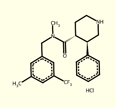 Cc1cc(CN(C)C(=O)[C@@H]2CCNC[C@H]2c2ccccc2)cc(C(F)(F)F)c1.Cl